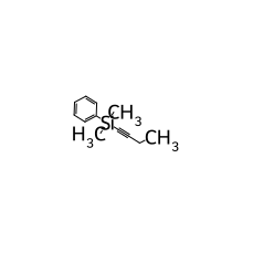 CCC#C[Si](C)(C)c1ccccc1